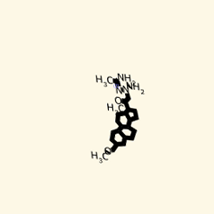 COCC1CCC2C(CCC3C2CCC2(C)C(C(=O)CN(N)/N=C(/C)N)CCC32)C1